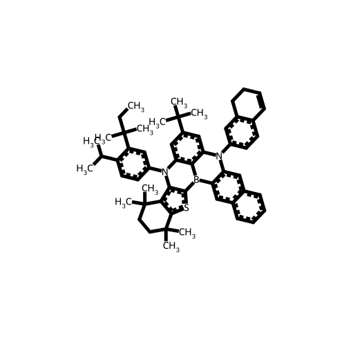 CCC(C)(C)c1cc(N2c3cc(C(C)(C)C)cc4c3B(c3cc5ccccc5cc3N4c3ccc4c(c3)CCC=C4)c3sc4c(c32)C(C)(C)CCC4(C)C)ccc1C(C)C